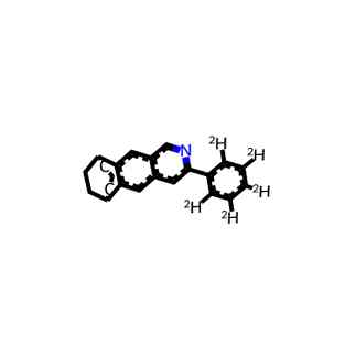 [2H]c1c([2H])c([2H])c(-c2cc3cc4c(cc3cn2)C2CCCC4CC2)c([2H])c1[2H]